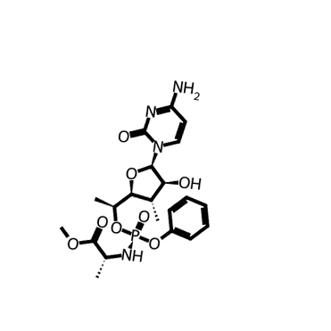 COC(=O)[C@@H](C)N[P@@](=O)(Oc1ccccc1)O[C@@H](C)[C@H]1O[C@@H](n2ccc(N)nc2=O)[C@@H](O)[C@@H]1C